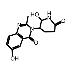 Cc1nc2ccc(O)cc2c(=O)n1C1CCC(=O)NC1O